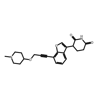 CN1CCC(OCC#Cc2cccc3c(C4CCC(=O)NC4=O)coc23)CC1